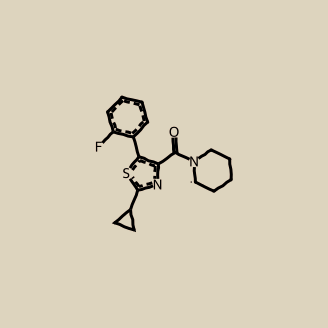 O=C(c1nc(C2CC2)sc1-c1ccccc1F)N1[CH]CCCC1